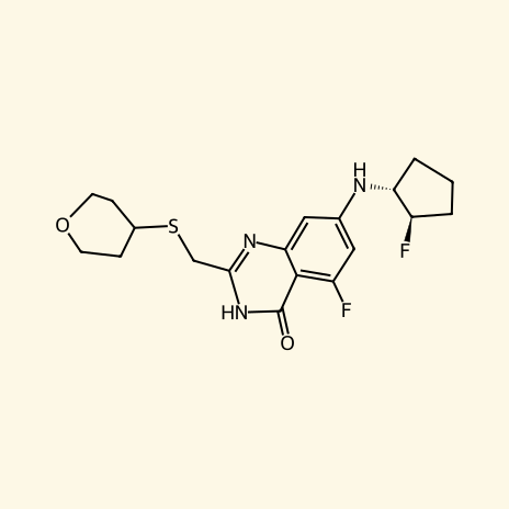 O=c1[nH]c(CSC2CCOCC2)nc2cc(N[C@@H]3CCC[C@H]3F)cc(F)c12